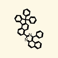 c1ccc(-c2nc(-c3cccc4c5c(ccc34)C(c3ccccc3)(c3ccccc3)c3ccccc3-5)nc3ccc4ccccc4c23)cc1